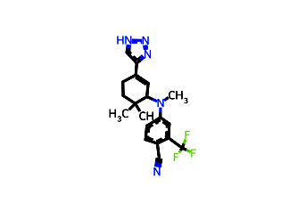 CN(c1ccc(C#N)c(C(F)(F)F)c1)C1C=C(c2c[nH]nn2)CCC1(C)C